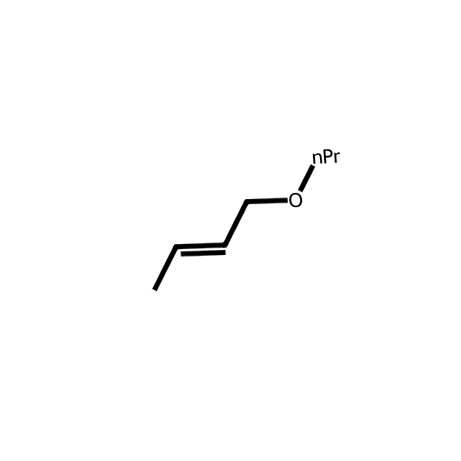 CC=CCOCCC